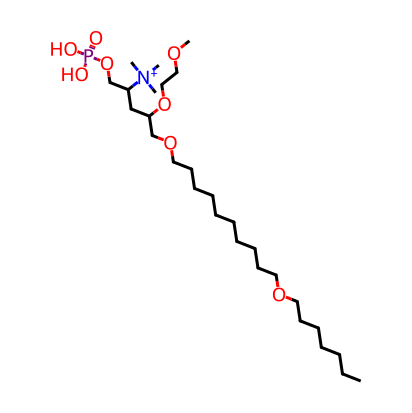 CCCCCCCOCCCCCCCCCCOCC(CC(COP(=O)(O)O)[N+](C)(C)C)OCCOC